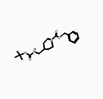 CC(C)(C)OC(=O)NCC1CCN(C(=O)OCc2ccccc2)CC1